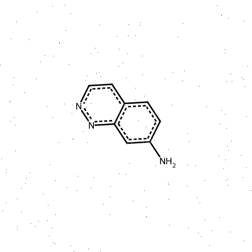 Nc1ccc2ccnnc2c1